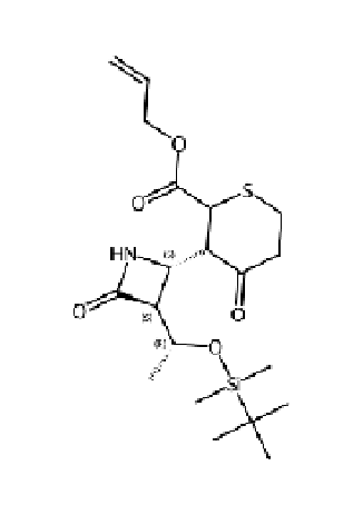 C=CCOC(=O)C1SCCC(=O)C1[C@H]1NC(=O)[C@@H]1[C@@H](C)O[Si](C)(C)C(C)(C)C